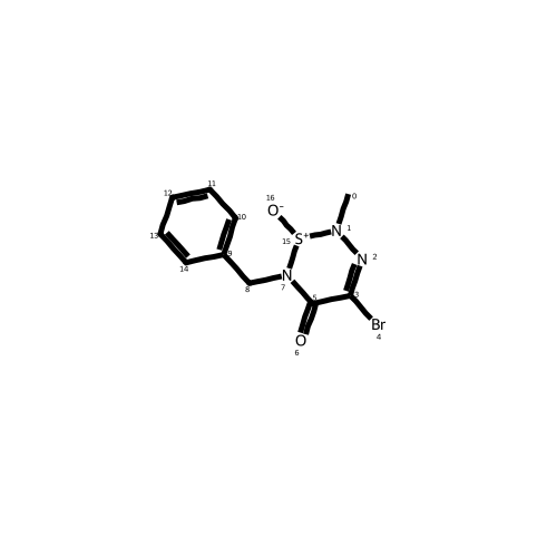 CN1N=C(Br)C(=O)N(Cc2ccccc2)[S+]1[O-]